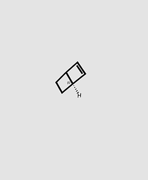 C1=C[C@H]2CCC12